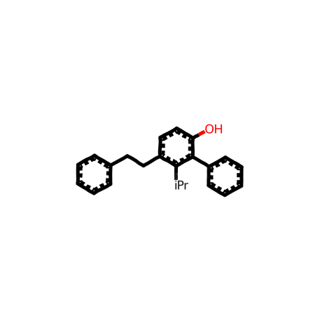 CC(C)c1c(CCc2ccccc2)ccc(O)c1-c1ccccc1